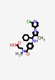 Cc1cn(-c2ccnc(Cl)c2)cc1C(Nc1ccc(C(=O)N(C)CCC(=O)O)cc1)C1CCCCC1